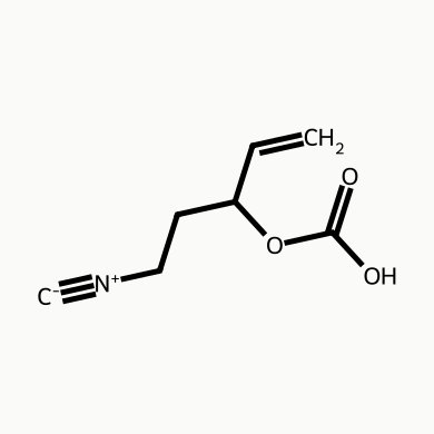 [C-]#[N+]CCC(C=C)OC(=O)O